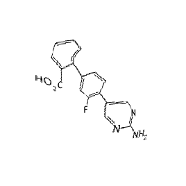 Nc1ncc(-c2ccc(-c3ccccc3C(=O)O)cc2F)cn1